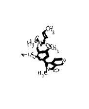 COc1cc(-c2cn(C)c(=O)c3cnccc23)cc(OC)c1CN(C)CC12CC(C)(C1)C2